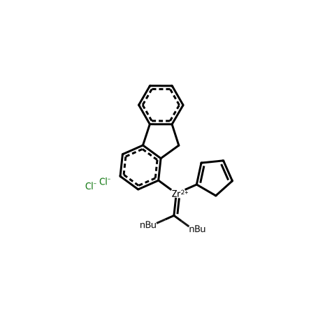 CCCC[C](CCCC)=[Zr+2]([C]1=CC=CC1)[c]1cccc2c1Cc1ccccc1-2.[Cl-].[Cl-]